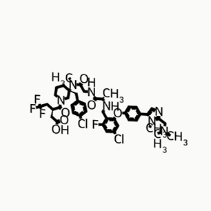 C[C@H](NCc1c(F)cc(Cl)cc1Oc1ccc(-c2cnc(CN(C)C)n2C)cc1)C(=O)NCC(=O)N(C)[C@@]1(Cc2ccc(Cl)cc2)CCCN(C(=O)[C@@H](CC(=O)O)CC(F)(F)F)C1